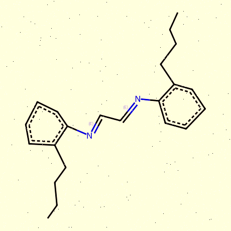 CCCCc1ccccc1/N=C/C=N/c1ccccc1CCCC